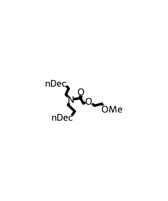 CCCCCCCCCCCCN(CCCCCCCCCCCC)C(=O)COCCOC